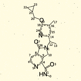 CNC(=O)c1nccc2c1CN(C(C)c1cc(C)c(OCC3CC3)cn1)C2=O